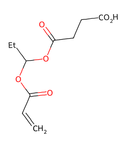 C=CC(=O)OC(CC)OC(=O)CCC(=O)O